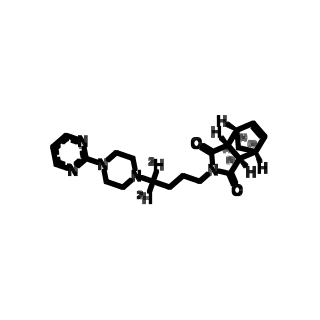 [2H]C([2H])(CCCN1C(=O)[C@@H]2[C@H](C1=O)[C@@H]1C=C[C@H]2C1)N1CCN(c2ncccn2)CC1